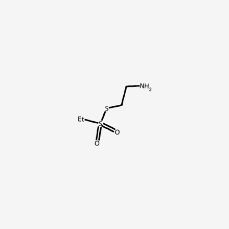 CCS(=O)(=O)SCCN